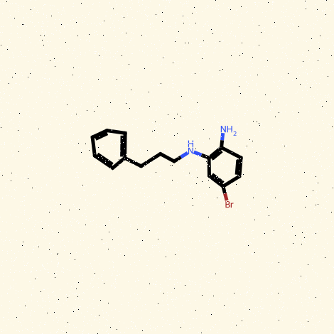 Nc1ccc(Br)cc1NCCCc1ccccc1